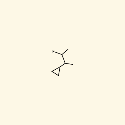 CC(F)C(C)C1CC1